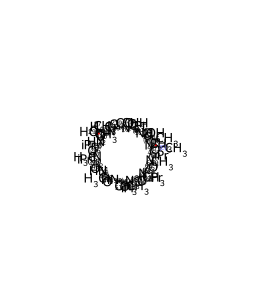 C/C=C/C[C@@H](C)[C@@H](O)[C@H]1C(=O)N[C@@H](CC)C(=O)N(C)C(C(=O)O)C(=O)N(C)[C@@H](CC(C)(C)O)C(=O)N[C@@H](C(C)C)C(=O)N(C)[C@@H](CC(C)C)C(=O)N[C@@H](C)C(=O)N[C@H](C)C(=O)N(C)[C@@H](CC(C)C)C(=O)N(C)[C@@H](CC(C)C)C(=O)N(C)[C@@H](C(C)C)C(=O)N1C